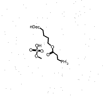 CCCCCCCCCCCCCCOC(=O)CCP.COS(=O)(=O)O